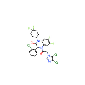 O=C(NC1CCC(F)(F)CC1)C(c1ccccc1Cl)N(C(=O)Cn1cnc(Cl)c1Cl)c1ccc(F)c(F)c1